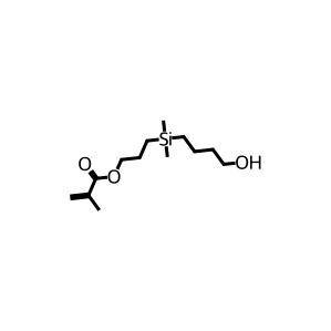 C=C(C)C(=O)OCCC[Si](C)(C)CCCCO